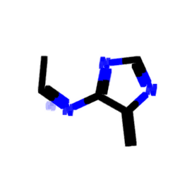 C=C1N=CN=C1/N=C\C